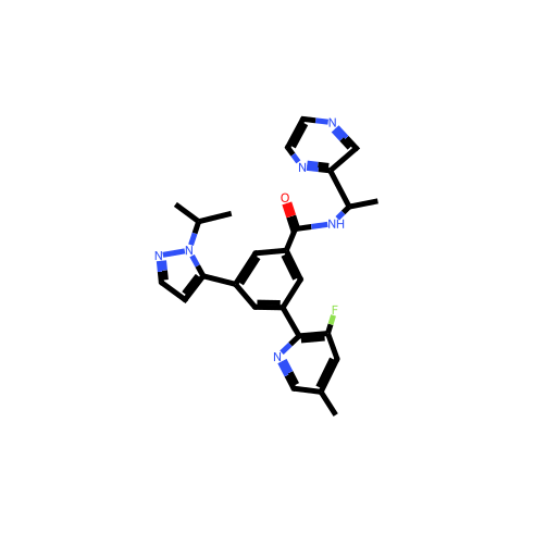 Cc1cnc(-c2cc(C(=O)NC(C)c3cnccn3)cc(-c3ccnn3C(C)C)c2)c(F)c1